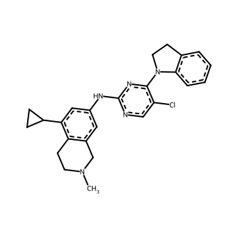 CN1CCc2c(cc(Nc3ncc(Cl)c(N4CCc5ccccc54)n3)cc2C2CC2)C1